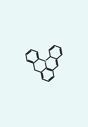 C1=CC2=Cc3cccc4c3N(c3ccccc3C4)C2C=C1